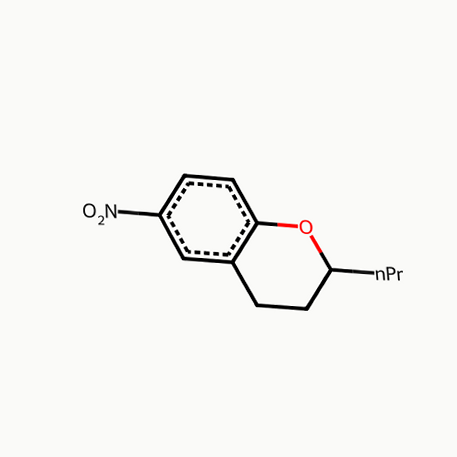 CCCC1CCc2cc([N+](=O)[O-])ccc2O1